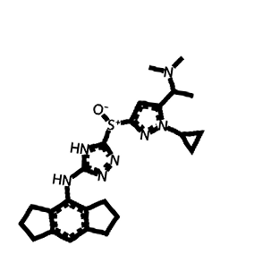 CC(c1cc([S+]([O-])c2nnc(Nc3c4c(cc5c3CCC5)CCC4)[nH]2)nn1C1CC1)N(C)C